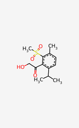 Cc1ccc(C(C)C)c(C(=O)CO)c1S(C)(=O)=O